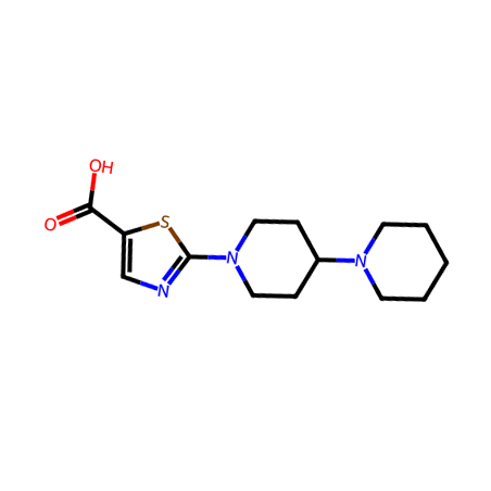 O=C(O)c1cnc(N2CCC(N3CCCCC3)CC2)s1